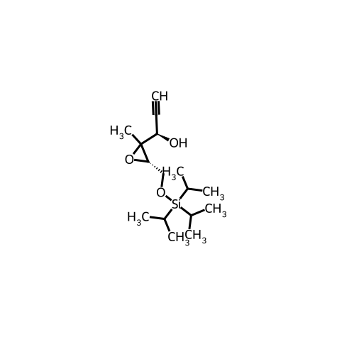 C#C[C@@H](O)C1(C)O[C@H]1CO[Si](C(C)C)(C(C)C)C(C)C